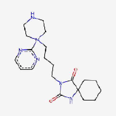 O=C1NC2(CCCCC2)C(=O)N1CCCC[N+]1(c2ncccn2)CCNCC1